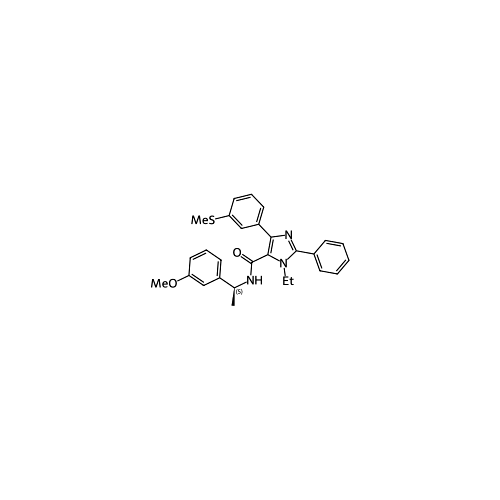 CCn1c(-c2ccccc2)nc(-c2cccc(SC)c2)c1C(=O)N[C@@H](C)c1cccc(OC)c1